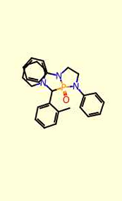 Cc1ccccc1C(N1CCCCC1)P1(=O)N(c2ccccc2)CCN1c1ccccc1